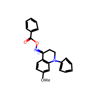 COc1ccc2c(c1)N(c1ccccc1)CC/C2=N\OC(=O)c1ccccc1